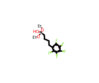 CCO[Si](O)(CCCCc1c(F)c(F)c(F)c(F)c1F)OCC